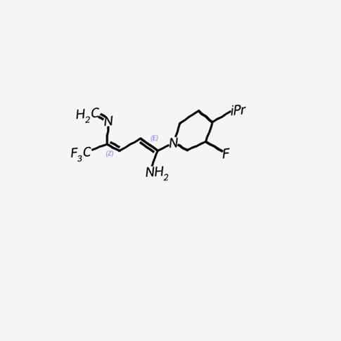 C=N/C(=C\C=C(/N)N1CCC(C(C)C)C(F)C1)C(F)(F)F